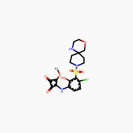 CCOc1c(Nc2ccc(Cl)c(S(=O)(=O)N3CCC4(CC3)COCCN4)c2O)c(=O)c1=O